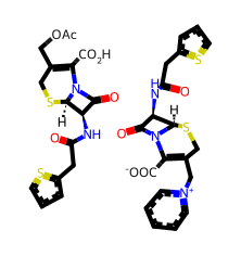 CC(=O)OCC1=C(C(=O)O)N2C(=O)[C@@H](NC(=O)Cc3cccs3)[C@H]2SC1.O=C(Cc1cccs1)N[C@@H]1C(=O)N2C(C(=O)[O-])=C(C[n+]3ccccc3)CS[C@H]12